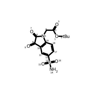 CC(C)(C)OC(=O)CN1C(=O)C(=O)c2cc(S(N)(=O)=O)ccc21